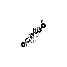 C[C@H]1CN(c2ccccn2)CCN1c1ncc(NC(=O)c2ccc(-c3cccc(F)c3)nc2)cn1